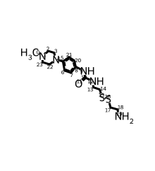 CN1CCN(c2ccc(NC(=O)NCCSSCCN)cc2)CC1